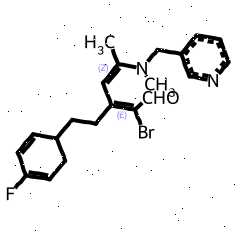 C/C(=C/C(CCC1C=CC(F)=CC1)=C(/Br)C=O)N(C)Cc1cccnc1